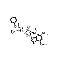 CCOc1nc(N)nc2c1ncn2[C@@H]1O[C@H](COP(=O)(NC2CC2)Oc2ccccc2)[C@@H](O)[C@@]1(C)N